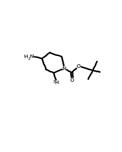 [2H]C1CC(N)CCN1C(=O)OC(C)(C)C